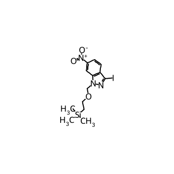 C[Si](C)(C)CCOCn1nc(I)c2ccc([N+](=O)[O-])cc21